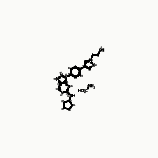 NC(=O)O.OCCn1cc(-c2ccc(-n3nnc4cnc(NC5CCCC5)nc43)cc2)cn1